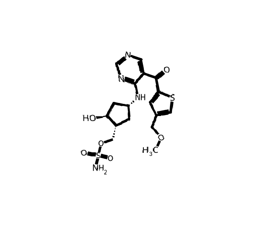 COCc1csc(C(=O)c2cncnc2N[C@@H]2C[C@H](COS(N)(=O)=O)[C@@H](O)C2)c1